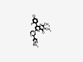 Cc1nc2c(-c3ccc(Cl)cc3F)cc(N3CCOC(c4cnn(C)c4)C3)nc2c(=O)n1C